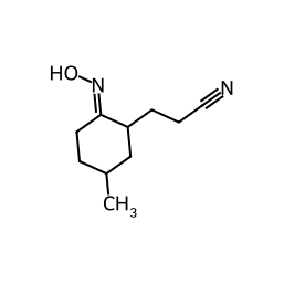 CC1CCC(=NO)C(CCC#N)C1